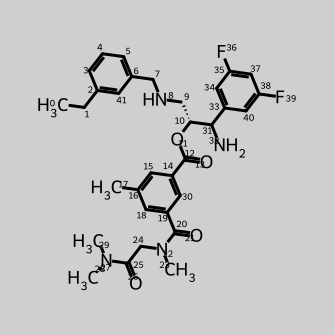 CCc1cccc(CNC[C@@H](OC(=O)c2cc(C)cc(C(=O)N(C)CC(=O)N(C)C)c2)C(N)c2cc(F)cc(F)c2)c1